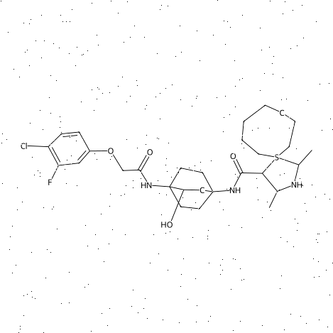 CC1NC(C)S2(CCCCCCC2)C1C(=O)NC12CCC(NC(=O)COc3ccc(Cl)c(F)c3)(CC1)C(O)C2